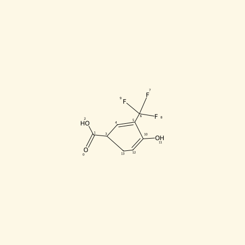 O=C(O)C1C=C(C(F)(F)F)C(O)=CC1